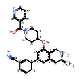 C=C/C=c1/cc(C2C=C(C#N)C=CC2)cc(OC2CCN(C(=O)c3cccnc3)CC2)/c1=C/N